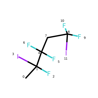 CC(F)(I)C(F)(F)CC(F)(F)I